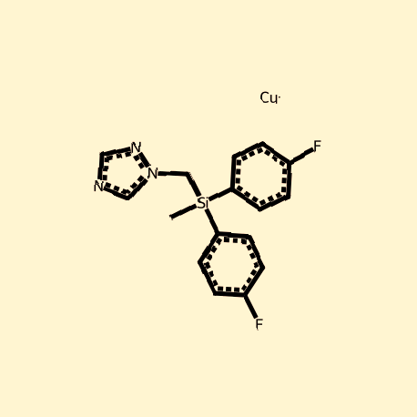 C[Si](Cn1cncn1)(c1ccc(F)cc1)c1ccc(F)cc1.[Cu]